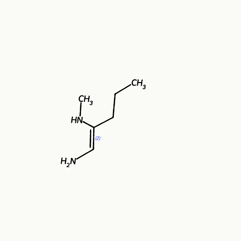 CCC/C(=C/N)NC